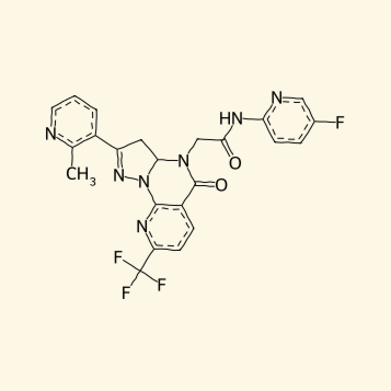 Cc1ncccc1C1=NN2c3nc(C(F)(F)F)ccc3C(=O)N(CC(=O)Nc3ccc(F)cn3)C2C1